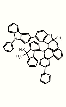 CC1(C)c2ccccc2-c2c(N(C3=CC=CC4(C)Oc5ccc(-c6ccc7c(c6)c6ccccc6n7-c6ccccc6)cc5C34)c3ccc(-c4ccccc4)cc3-c3ccccc3)cccc21